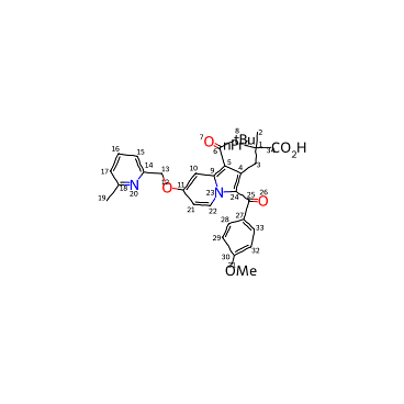 CCCC(C)(Cc1c(C(=O)C(C)(C)C)c2cc(OCc3cccc(C)n3)ccn2c1C(=O)c1ccc(OC)cc1)C(=O)O